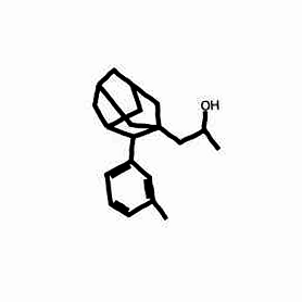 Cc1cccc(C2C3CC4CC(C3)CC2(CC(C)O)C4)c1